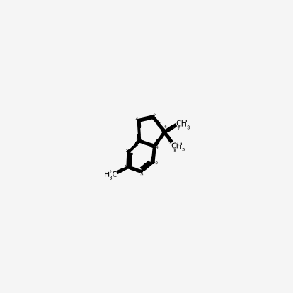 CC1=CC2CCC(C)(C)C2C=[C]1